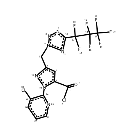 O=C(Cl)c1cc(Cn2nnc(C(F)(F)C(F)(F)C(F)(F)F)n2)nn1-c1ncccc1Cl